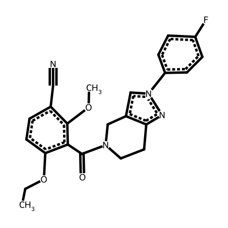 CCOc1ccc(C#N)c(OC)c1C(=O)N1CCc2nn(-c3ccc(F)cc3)cc2C1